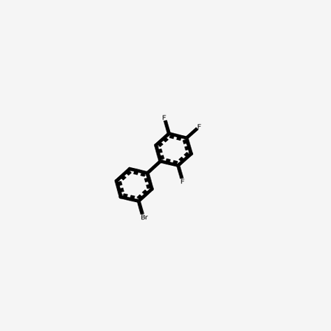 Fc1cc(F)c(-c2cc[c]c(Br)c2)cc1F